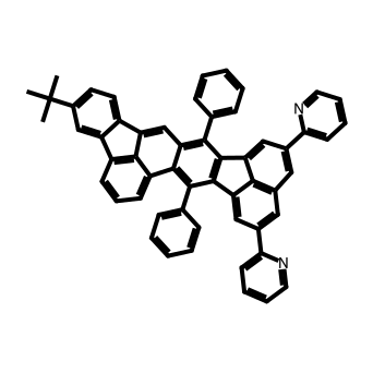 CC(C)(C)c1ccc2c(c1)c1cccc3c4c(-c5ccccc5)c5c6cc(-c7ccccn7)cc7cc(-c8ccccn8)cc(c5c(-c5ccccc5)c4cc2c13)c76